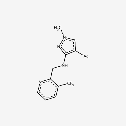 CC(=O)c1cn(C)nc1NCc1ncccc1C(F)(F)F